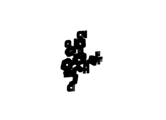 C=C(/C=C\C=C/CCl)[C@@H](C(=O)NC1CC(F)(F)C1)N(C(=O)[C@@H]1CCC(=O)N1c1nccc(C#N)n1)c1cccc(C(C)(C)C)c1